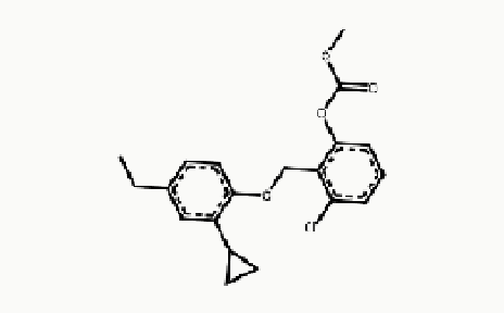 CCc1ccc(OCc2c(Cl)cccc2OC(=O)OC)c(C2CC2)c1